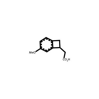 COc1ccc2c(c1)C(CC(=O)O)C2